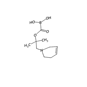 CC(C)(CN1CC=CCC1)OC(=O)B(O)O